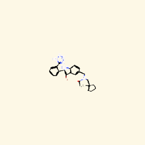 CCCCCC(=O)N(Cc1ccc2[nH]c(-c3ccccc3-c3nnn[nH]3)c(Br)c2c1)CC1(C(=O)O)CCCC1